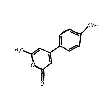 CSc1ccc(-c2cc(C)oc(=O)c2)cc1